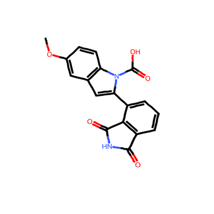 COc1ccc2c(c1)cc(-c1cccc3c1C(=O)NC3=O)n2C(=O)O